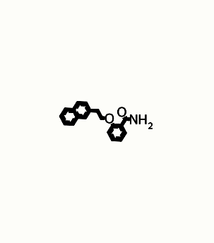 NC(=O)c1ccccc1OCCc1ccc2ccccc2c1